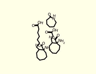 NC1(C(=O)O)CCCCCCC1CCC(=O)O.NC1(C(=O)O)CCCCCCC1CCCCCCC(=O)O.O=C1CCCCCN1